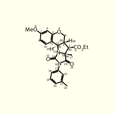 CCOC(=O)[C@@H]1[C@H]2COc3cc(OC)ccc3[C@@H]2N2C(=O)N(c3cccc(C)c3)C(=O)[C@@]12C